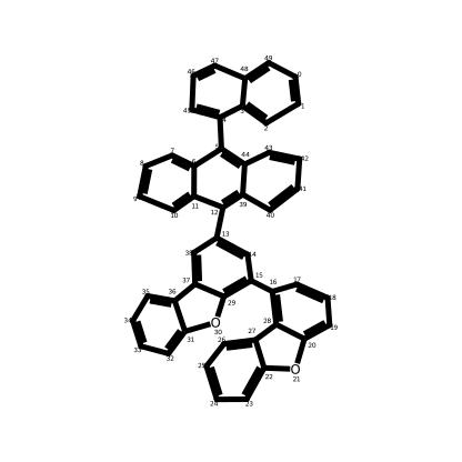 c1ccc2c(-c3c4ccccc4c(-c4cc(-c5cccc6oc7ccccc7c56)c5oc6ccccc6c5c4)c4ccccc34)cccc2c1